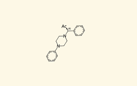 CC(=O)[C@@H](c1ccccc1)N1CCN(c2ccccc2)CC1